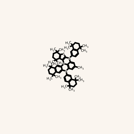 Cc1cc2c3c(c1)N(c1ccc4c(c1)C(C)(C)CCC4(C)C)c1sc4c(c1B3c1cc3c(cc1N2c1ccc2c(c1)C(C)(C)CCC2(C)C)C(C)(C)CCC3(C)C)C(C)(C)CCC4(C)C